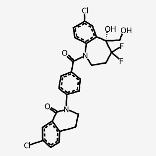 O=C1c2cc(Cl)ccc2CCN1c1ccc(C(=O)N2CCC(F)(F)[C@](O)(CO)c3cc(Cl)ccc32)cc1